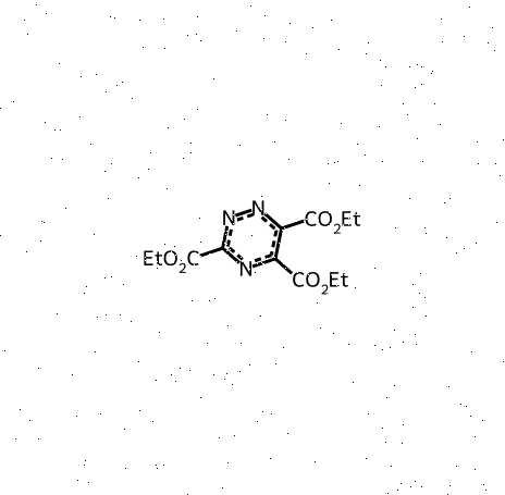 CCOC(=O)c1nnc(C(=O)OCC)c(C(=O)OCC)n1